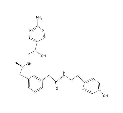 C[C@H](Cc1cccc(CC(=O)NCCc2ccc(O)cc2)c1)NC[C@@H](O)c1ccc(N)nc1